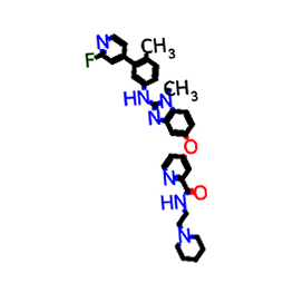 Cc1ccc(Nc2nc3cc(Oc4ccnc(C(=O)NCCN5CCCCC5)c4)ccc3n2C)cc1-c1ccnc(F)c1